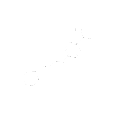 CC(O)c1ccc(OCCCN2CCCCC2)cc1